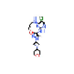 Cc1c2c(nn1C1CN(C3CCOCC3)C1)OCCCNc1nc(ncc1Cl)N2